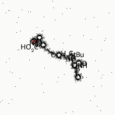 CC(C)(C)[Si](C)(C)O[C@H](CNCCc1ccc(OCCCCc2ccc(-c3ccccc3)c(N(C(=O)O)[C@H]3CN4CCC3CC4)c2)cc1)c1ccc(OCc2ccccc2)c2[nH]c(=O)ccc12